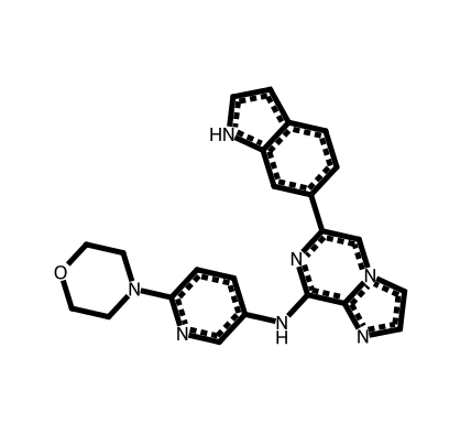 c1cn2cc(-c3ccc4cc[nH]c4c3)nc(Nc3ccc(N4CCOCC4)nc3)c2n1